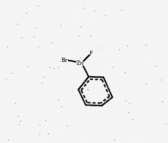 [F][Zn]([Br])[c]1ccccc1